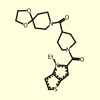 CCn1c(C(=O)N2CCC(C(=O)N3CCC4(CC3)OCCO4)CC2)cc2sccc21